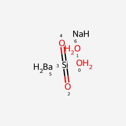 O.O.O=[Si]=O.[BaH2].[NaH]